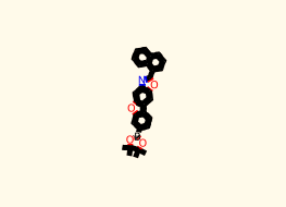 CC1(C)OB(c2ccc3c(c2)oc2cc4nc(-c5cccc6ccccc56)oc4cc23)OC1(C)C